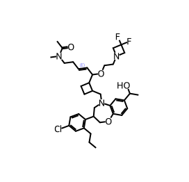 CCCc1cc(Cl)ccc1C1COc2ccc(C(C)O)cc2N(CC2CCC2C(/C=C/CCN(C)C(C)=O)OCCN2CC(F)(F)C2)C1